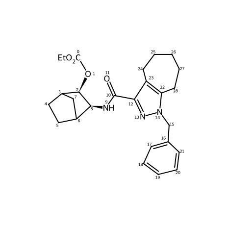 CCOC(=O)O[C@@H]1C2CCC(C2)[C@@H]1NC(=O)c1nn(Cc2ccccc2)c2c1CCCCC2